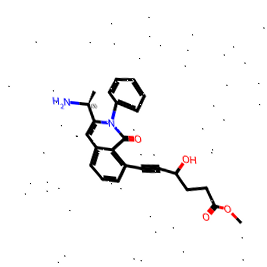 COC(=O)CCC(O)C#Cc1cccc2cc([C@H](C)N)n(-c3ccccc3)c(=O)c12